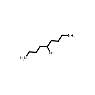 [NH]C(CCCN)CCCN